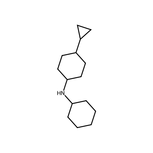 C1CCC(NC2CCC(C3CC3)CC2)CC1